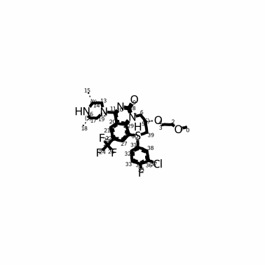 COCCO[C@H]1Cn2c(=O)nc(N3C[C@@H](C)N[C@@H](C)C3)c3cc(C(F)(F)F)cc(c32)[SH](c2ccc(F)c(Cl)c2)C1